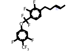 C/C=C/CCc1ccc(C(F)(F)Oc2cc(F)c(C(F)(F)F)c(F)c2)c(F)c1F